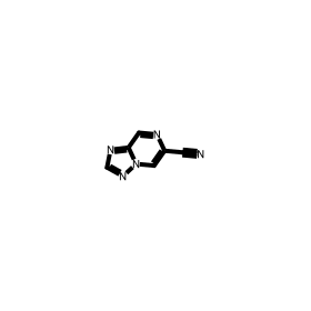 N#Cc1cn2ncnc2cn1